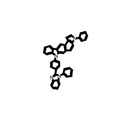 c1ccc(-n2ccc3c4cc5c6ccccc6n(-c6ccc(-c7nc8ccccc8n7-c7ccccc7)cc6)c5cc4ccc32)cc1